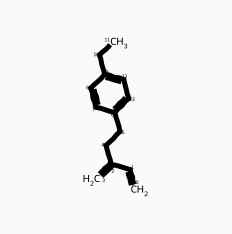 C=CC(=C)CCc1ccc(CC)cc1